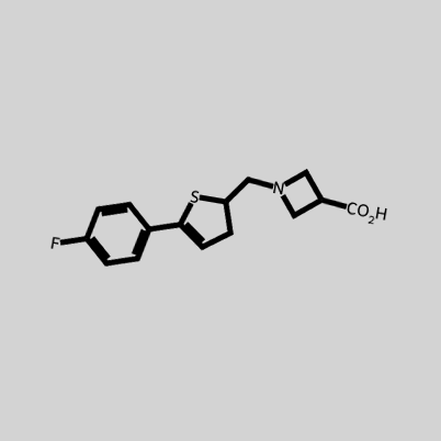 O=C(O)C1CN(CC2CC=C(c3ccc(F)cc3)S2)C1